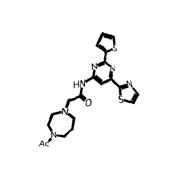 CC(=O)N1CCCN(CC(=O)Nc2cc(-c3nccs3)nc(-c3cccs3)n2)CC1